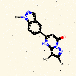 CCc1nn2c(=O)cc(-c3ccc4c(cnn4CC)c3)[nH]c2c1C#N